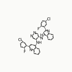 Fc1ccc(Cl)cc1-c1cc(Nc2cnncc2Nc2cc(-c3cc(Cl)ccc3F)nc3ccccc23)c2ccccc2n1